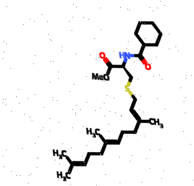 COC(=O)[C@H](CSC/C=C(\C)CC/C=C(\C)CCC=C(C)C)NC(=O)C1CCCCC1